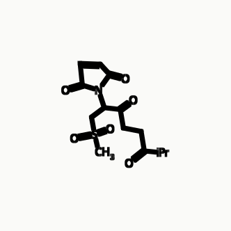 CC(C)C(=O)CCC(=O)C(CS(C)(=O)=O)N1C(=O)C=CC1=O